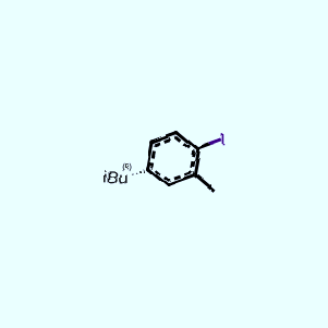 CC[C@@H](C)c1ccc(I)c(C)c1